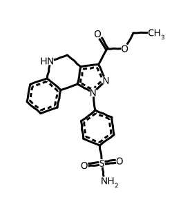 CCOC(=O)c1nn(-c2ccc(S(N)(=O)=O)cc2)c2c1CNc1ccccc1-2